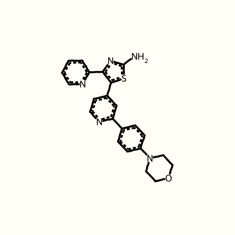 Nc1nc(-c2ccccn2)c(-c2ccnc(-c3ccc(N4CCOCC4)cc3)c2)s1